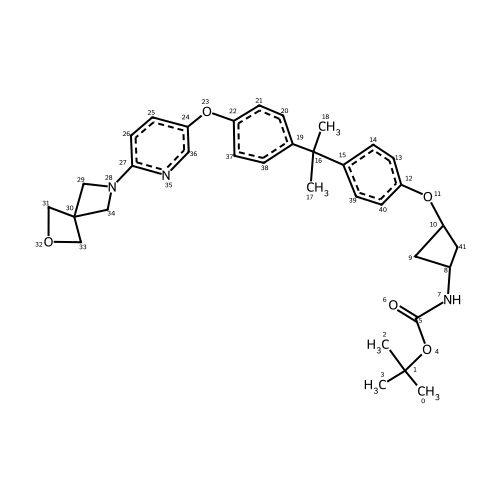 CC(C)(C)OC(=O)NC1CC(Oc2ccc(C(C)(C)c3ccc(Oc4ccc(N5CC6(COC6)C5)nc4)cc3)cc2)C1